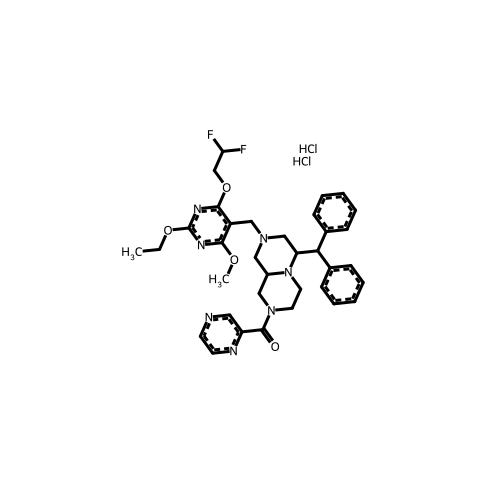 CCOc1nc(OC)c(CN2CC3CN(C(=O)c4cnccn4)CCN3C(C(c3ccccc3)c3ccccc3)C2)c(OCC(F)F)n1.Cl.Cl